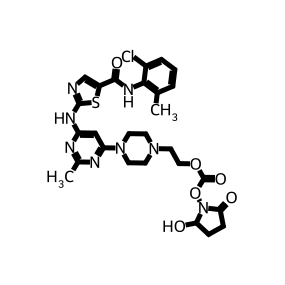 Cc1nc(Nc2ncc(C(=O)Nc3c(C)cccc3Cl)s2)cc(N2CCN(CCOC(=O)ON3C(=O)CCC3O)CC2)n1